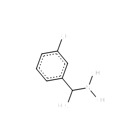 CC(c1cccc(C(F)(F)F)c1)N(C)C